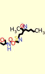 CCCCc1noc(C)c1CCc1ncc(OC(=O)NC2CCOC2)s1